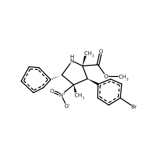 COC(=O)[C@@]1(C)N[C@@H](c2ccccc2)[C@@](C)([N+](=O)[O-])[C@@H]1c1ccc(Br)cc1